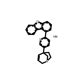 Br.C1=CC2(c3ccc(-c4cccc5oc6ccccc6c45)nc3)CCN(C1)C2